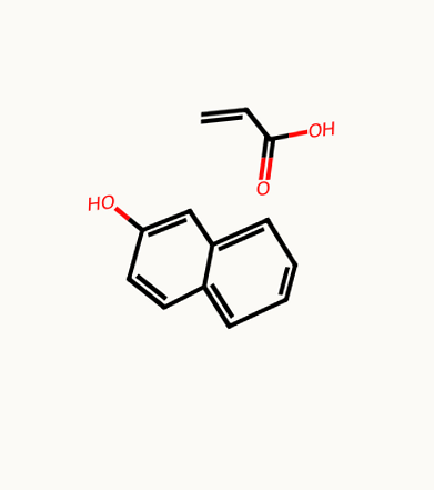 C=CC(=O)O.Oc1ccc2ccccc2c1